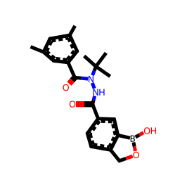 Cc1cc(C)cc(C(=O)N(NC(=O)c2ccc3c(c2)B(O)OC3)C(C)(C)C)c1